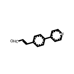 O=CC=Cc1ccc(-c2ccncc2)cc1